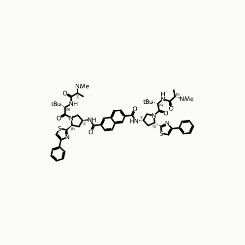 CN[C@@H](C)C(=O)N[C@H](C(=O)N1C[C@@H](NC(=O)c2ccc3cc(C(=O)N[C@H]4C[C@@H](c5nc(-c6ccccc6)cs5)N(C(=O)[C@@H](NC(=O)[C@H](C)NC)C(C)(C)C)C4)ccc3c2)C[C@H]1c1nc(-c2ccccc2)cs1)C(C)(C)C